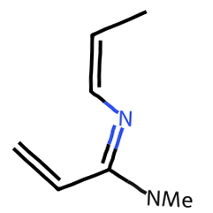 C=C/C(=N\C=C/C)NC